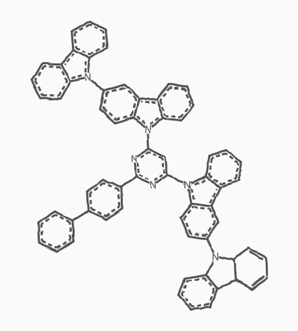 C1=CC2c3ccccc3N(c3ccc4c(c3)c3ccccc3n4-c3cc(-n4c5ccccc5c5cc(-n6c7ccccc7c7ccccc76)ccc54)nc(-c4ccc(-c5ccccc5)cc4)n3)C2C=C1